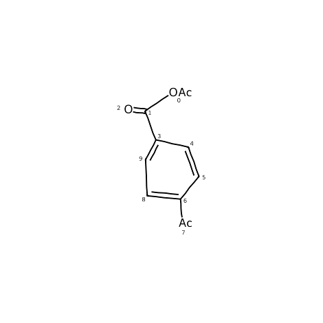 CC(=O)OC(=O)c1ccc(C(C)=O)cc1